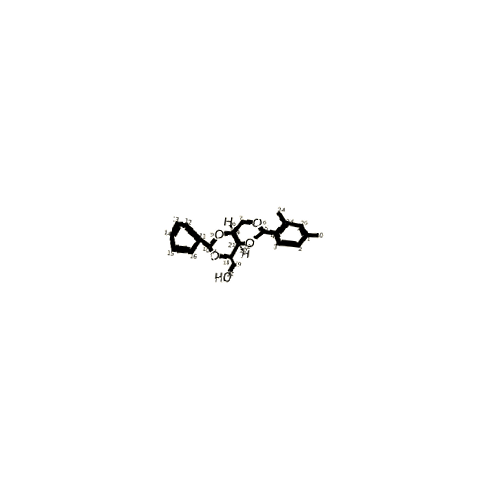 Cc1ccc(C2OC[C@@H]3OC(c4ccccc4)O[C@H](CO)[C@@H]3O2)c(C)c1